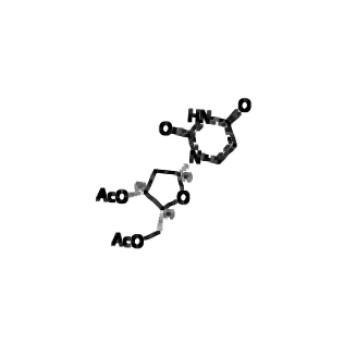 CC(=O)OC[C@H]1O[C@@H](n2ccc(=O)[nH]c2=O)C[C@H]1OC(C)=O